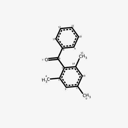 Cc1cc(C)c(C(=O)c2cc[c]cc2)c(C)c1